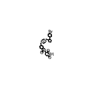 O=C1CCC(N2Cc3cc(CN4CCN(CC5=C(c6ccc(Br)cc6)CCC5)CC4)ccc3C2=O)C(=O)N1